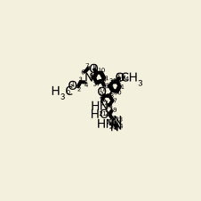 COCCCN1CCOc2ccc(CO[C@H]3CN[C@@H](CC(O)c4nnn[nH]4)C[C@@H]3c3ccc(OC)cc3)cc21